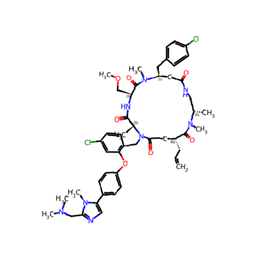 C=CC[C@@H]1CC(=O)N(Cc2ccc(Cl)cc2Oc2ccc(-c3cnc(CN(C)C)n3C)cc2)[C@@H](C)C(=O)N[C@@H](COC)C(=O)N(C)[C@@H](Cc2ccc(Cl)cc2)CC(=O)NC[C@H](C)N(C)C1=O